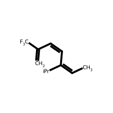 C=C(/C=C\C(=C/C)C(C)C)C(F)(F)F